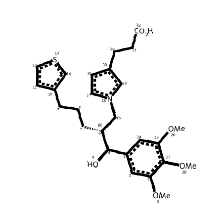 COc1cc(C(O)[C@H](CCCc2ccsc2)Cn2ccc(CCC(=O)O)c2)cc(OC)c1OC